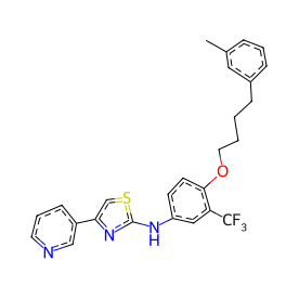 Cc1cccc(CCCCOc2ccc(Nc3nc(-c4cccnc4)cs3)cc2C(F)(F)F)c1